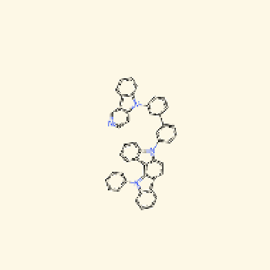 c1ccc(-n2c3ccccc3c3ccc4c(c5ccccc5n4-c4cccc(-c5cccc(-n6c7ccccc7c7cnccc76)c5)c4)c32)cc1